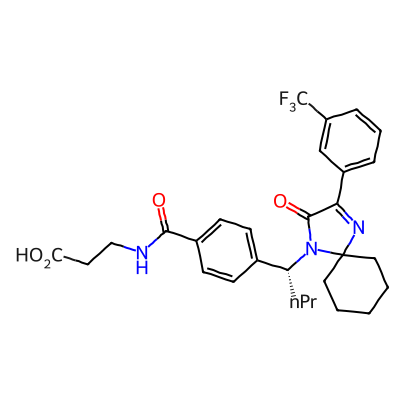 CCC[C@H](c1ccc(C(=O)NCCC(=O)O)cc1)N1C(=O)C(c2cccc(C(F)(F)F)c2)=NC12CCCCC2